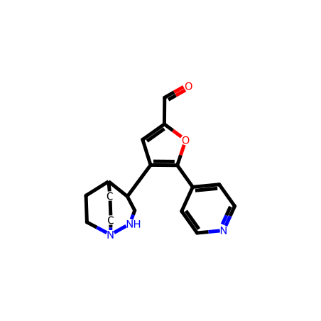 O=Cc1cc(C2CNN3CCC2CC3)c(-c2ccncc2)o1